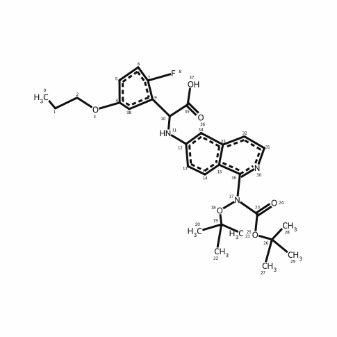 CCCOc1ccc(F)c(C(Nc2ccc3c(N(OC(C)(C)C)C(=O)OC(C)(C)C)nccc3c2)C(=O)O)c1